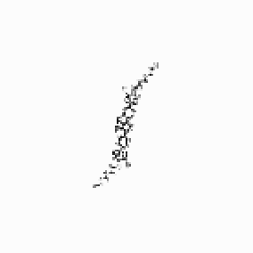 CCCCCCCC[C@@H]1CO[C@@H](c2ccc(-c3ccc(C4CCC([C@@H]5OC[C@@H](CCCCCCCC)[C@H](C)O5)CC4)c(F)c3F)cc2)OC1C